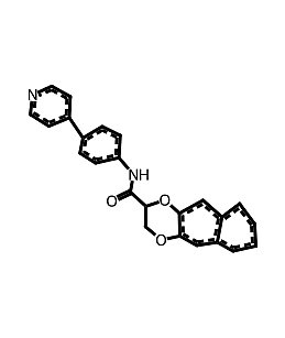 O=C(Nc1ccc(-c2ccncc2)cc1)C1COc2cc3ccccc3cc2O1